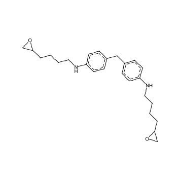 c1cc(NCCCCC2CO2)ccc1Cc1ccc(NCCCCC2CO2)cc1